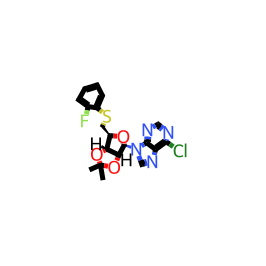 CC1(C)O[C@@H]2[C@H](O1)[C@@H](CSc1ccccc1F)O[C@H]2n1cnc2c(Cl)ncnc21